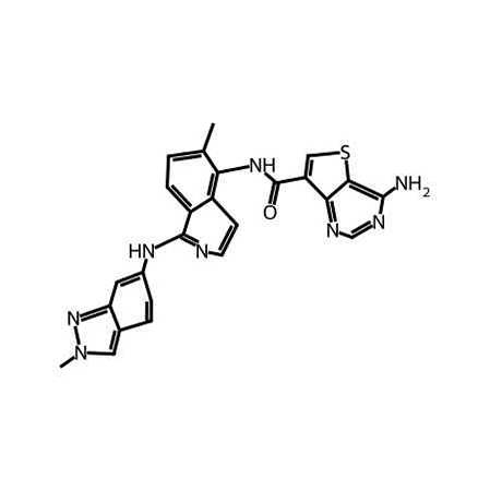 Cc1ccc2c(Nc3ccc4cn(C)nc4c3)nccc2c1NC(=O)c1csc2c(N)ncnc12